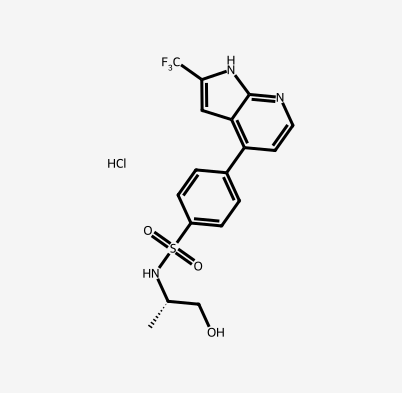 C[C@@H](CO)NS(=O)(=O)c1ccc(-c2ccnc3[nH]c(C(F)(F)F)cc23)cc1.Cl